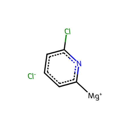 [Cl-].[Mg+][c]1cccc(Cl)n1